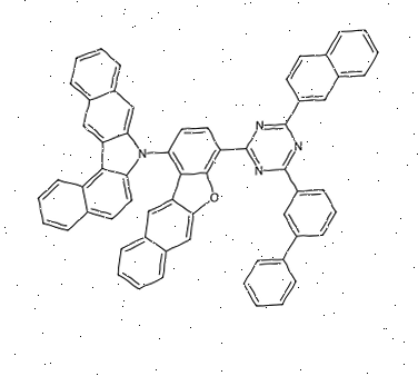 c1ccc(-c2cccc(-c3nc(-c4ccc5ccccc5c4)nc(-c4ccc(-n5c6cc7ccccc7cc6c6c7ccccc7ccc65)c5c4oc4cc6ccccc6cc45)n3)c2)cc1